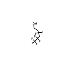 OCCC(F)(F)CC(F)(F)C(F)(F)F